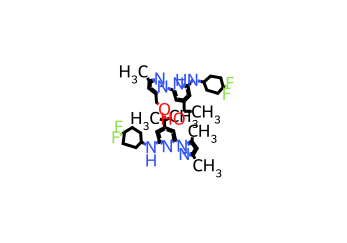 Cc1cc(C)n(-c2cc(C(C)(C)OCc3cc(C)nn3-c3cc(C(C)O)cc(NC4CCC(F)(F)CC4)n3)cc(NC3CCC(F)(F)CC3)n2)n1